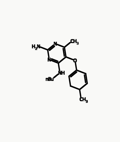 CCCCNc1nc(N)nc(C)c1OC1=CCC(C)C=C1